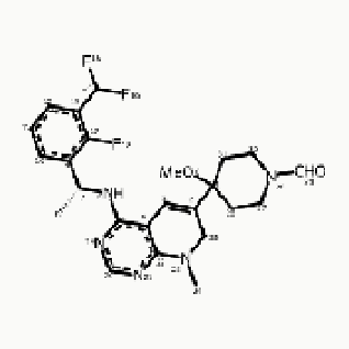 COC1(C2=Cc3c(N[C@H](C)c4cccc(C(F)F)c4F)ncnc3N(C)C2)CCN(C=O)CC1